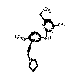 CCc1cc(C)nc(Nc2ccc(OC)c(C#CCN3CCCC3)c2)n1